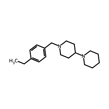 CCc1ccc(CN2CCC(N3CCCCC3)CC2)cc1